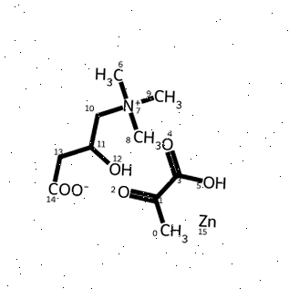 CC(=O)C(=O)O.C[N+](C)(C)CC(O)CC(=O)[O-].[Zn]